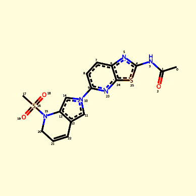 CC(=O)Nc1nc2ccc(-n3cc4c(c3)N(S(C)(=O)=O)CC=C4)nc2s1